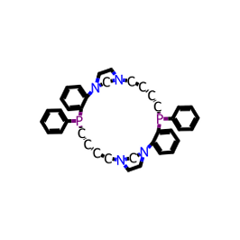 c1ccc(P2CCCCN3CCN(C3)c3ccccc3P(c3ccccc3)CCCCN3CCN(C3)c3ccccc32)cc1